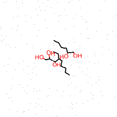 CCCCC(O)CO.CCCCCC(CC)C(O)C(O)CO